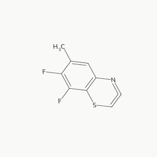 Cc1cc2c(c(F)c1F)SC=C=N2